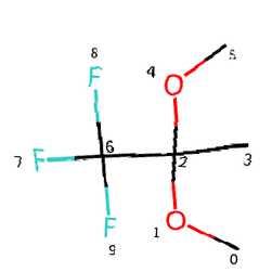 COC(C)(OC)C(F)(F)F